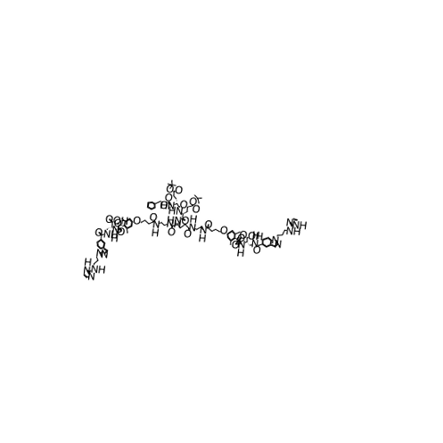 Cc1cc(OCCCC(=O)NCCNC(=O)CCC(NC(=O)[C@H](CCC(=O)OC(C)(C)C)NC(=O)[C@@H](CCC(=O)OC(C)(C)C)NC(=O)OCc2ccccc2)C(=O)NCCNC(=O)CCCOc2cc(C)c(S(=O)(=O)N[C@H](CNC(=O)c3ccc4c(cnn4CCCNc4ncc[nH]4)c3)C(=O)O)c(C)c2)cc(C)c1S(=O)(=O)N[C@@H](CNC(=O)c1ccc2c(cnn2CCCNc2ncc[nH]2)c1)C(=O)O